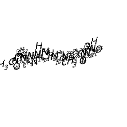 CN(C)C(=O)c1cc2cnc(Nc3ccc(N4CCC(N(C)Cc5ccc6c(c5)CN(N5CCC(=O)NC5=O)C6=O)CC4)cn3)nc2n1C1CCCC1